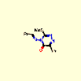 CC/C=N/n1c(SC)nnc(C(C)C)c1=O